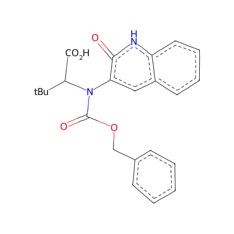 CC(C)(C)C(C(=O)O)N(C(=O)OCc1ccccc1)c1cc2ccccc2[nH]c1=O